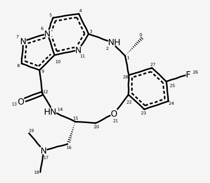 C[C@H]1Nc2ccn3ncc(c3n2)C(=O)N[C@@H](CN(C)C)COc2ccc(F)cc21